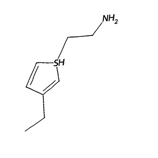 CCC1=C[SH](CCN)C=C1